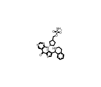 NS(=O)(=O)OCC1CC[C@H](Nc2ncncc2C(=O)c2cc(C3NCCc4ccccc43)cs2)C1